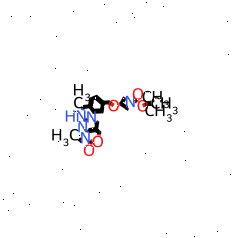 CCN1C(=O)OCc2cnc(NC(C)c3ccc(COC4CN(C(=O)OC(C)(C)C)C4)cc3)nc21